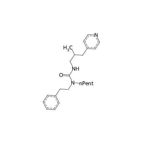 CCCCCN(CCc1ccccc1)C(=O)NCC(C)Cc1ccncc1